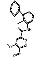 COc1cc(C(=O)Nc2cccc(-c3ccccc3)c2C)ncc1C=O